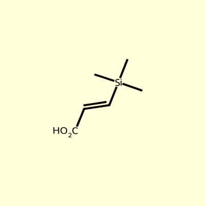 C[Si](C)(C)/C=C/C(=O)O